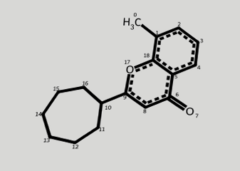 Cc1cccc2c(=O)cc(C3CCCCCC3)oc12